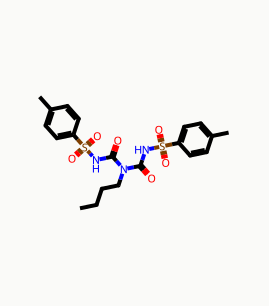 CCCCN(C(=O)NS(=O)(=O)c1ccc(C)cc1)C(=O)NS(=O)(=O)c1ccc(C)cc1